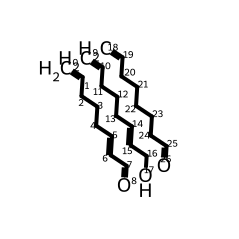 C=CCCCC=CC=O.C=CCCCC=CCO.C=CCCCCCC=O